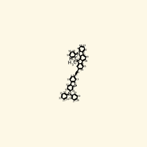 CC1(C)c2cc(C#Cc3ccc4c(c3)sc3cc(N(c5ccccc5)c5ccccc5)ccc34)ccc2-c2ccc3c4ccccc4n(-c4ccccc4)c3c21